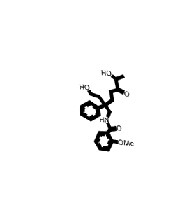 COc1ccccc1C(=O)NCC(CCO)(CCC(=O)C(C)O)c1ccccc1